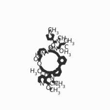 CCn1c(-c2cccnc2[C@H](C)OC)c2c3cc(ccc31)-c1cccc(c1)C[C@H](NC(=O)C(C(C)C)N(C)C(=O)[C@H]1CCN(C)C1)C(=O)N1CCC[C@H](N1)C(=O)OCC(C)(C)C2